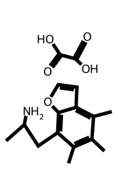 Cc1c(C)c(CC(C)N)c2occc2c1C.O=C(O)C(=O)O